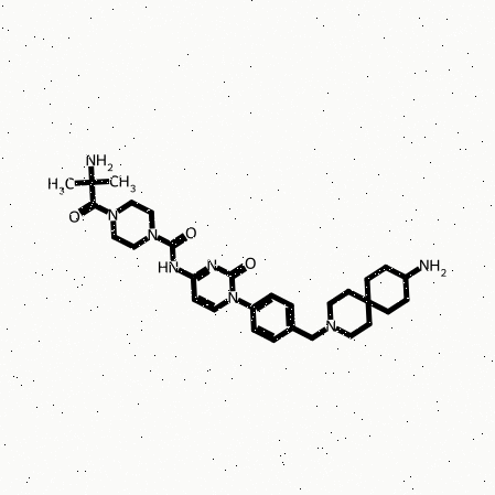 CC(C)(N)C(=O)N1CCN(C(=O)Nc2ccn(-c3ccc(CN4CCC5(CCC(N)CC5)CC4)cc3)c(=O)n2)CC1